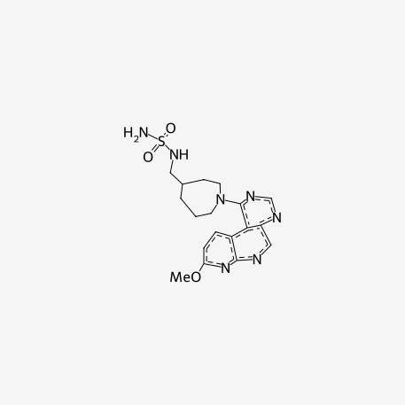 COc1ccc2c(ncc3ncnc(N4CCCC(CNS(N)(=O)=O)CC4)c32)n1